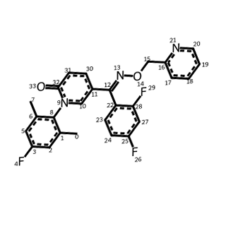 Cc1cc(F)cc(C)c1-n1cc(C(=NOCc2ccccn2)c2ccc(F)cc2F)ccc1=O